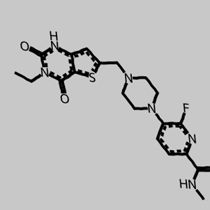 CCn1c(=O)[nH]c2cc(CN3CCN(c4ccc(C(=O)NC)nc4F)CC3)sc2c1=O